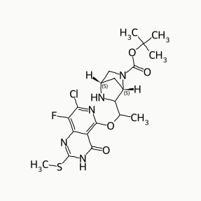 CSc1nc2c(F)c(Cl)nc(OC(C)C3N[C@H]4C[C@@H]3N(C(=O)OC(C)(C)C)C4)c2c(=O)[nH]1